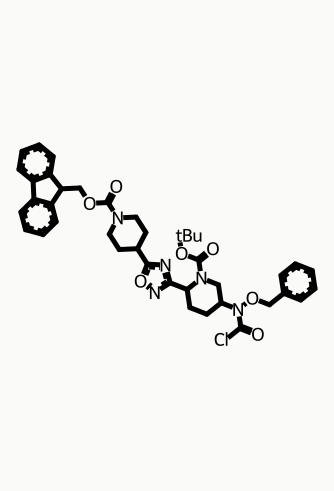 CC(C)(C)OC(=O)N1CC(N(OCc2ccccc2)C(=O)Cl)CCC1c1noc(C2CCN(C(=O)OCC3c4ccccc4-c4ccccc43)CC2)n1